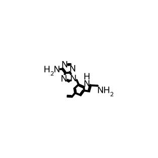 C=Cc1cc(Cn2cnc3c(N)ncnc32)c2[nH]c(CN)cc2c1